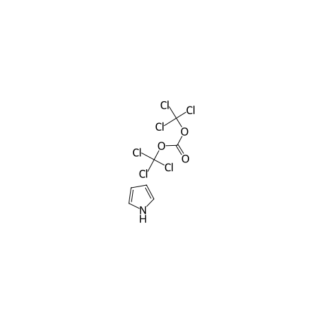 O=C(OC(Cl)(Cl)Cl)OC(Cl)(Cl)Cl.c1cc[nH]c1